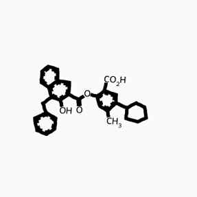 Cc1cc(OC(=O)c2cc3ccccc3c(Cc3ccccc3)c2O)c(C(=O)O)cc1C1CCCCC1